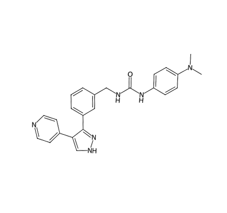 CN(C)c1ccc(NC(=O)NCc2cccc(-c3n[nH]cc3-c3ccncc3)c2)cc1